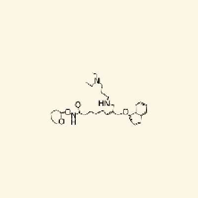 CCN(CC)CCCNCC(=CCCCCC(=O)NOC1CCCCO1)COc1cccc2ccccc12